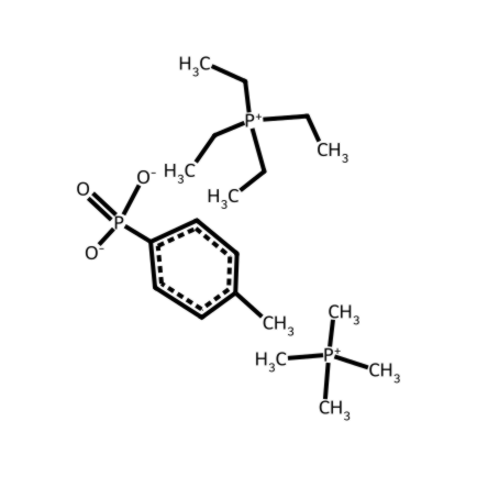 CC[P+](CC)(CC)CC.C[P+](C)(C)C.Cc1ccc(P(=O)([O-])[O-])cc1